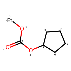 C[CH]OC(=O)OC1CCCC1